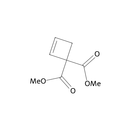 COC(=O)C1(C(=O)OC)C=CC1